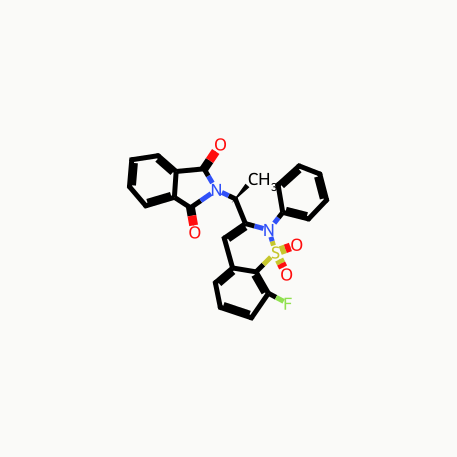 C[C@@H](C1=Cc2cccc(F)c2S(=O)(=O)N1c1ccccc1)N1C(=O)c2ccccc2C1=O